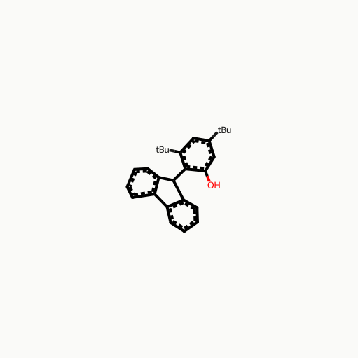 CC(C)(C)c1cc(O)c(C2c3ccccc3-c3ccccc32)c(C(C)(C)C)c1